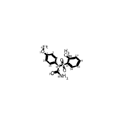 CCOc1ccc(N(C(N)=O)S(=O)(=O)c2ccccc2C)cc1